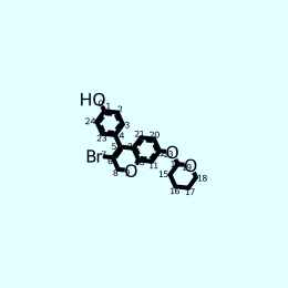 Oc1ccc(C2=C(Br)COc3cc(OC4CCCCO4)ccc32)cc1